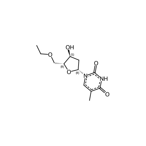 CCOC[C@H]1O[C@@H](n2cc(C)c(=O)[nH]c2=O)C[C@@H]1O